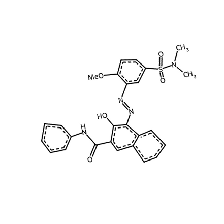 COc1ccc(S(=O)(=O)N(C)C)cc1/N=N/c1c(O)c(C(=O)Nc2ccccc2)cc2ccccc12